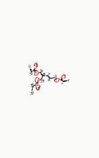 C=CC(=O)OCCCC(COC(=O)C=C)COC(=O)C=C